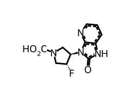 O=C(O)N1C[C@@H](F)[C@H](n2c(=O)[nH]c3cccnc32)C1